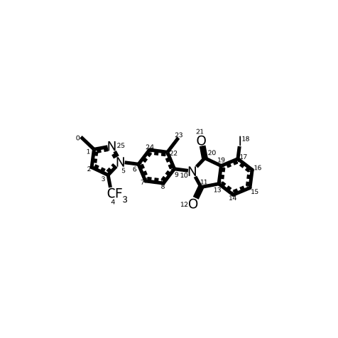 Cc1cc(C(F)(F)F)n(-c2ccc(N3C(=O)c4cccc(I)c4C3=O)c(C)c2)n1